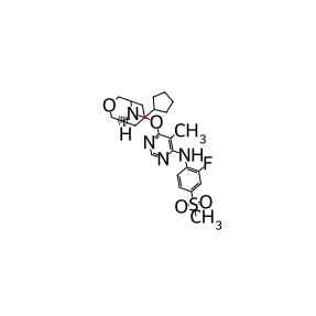 Cc1c(Nc2ccc(S(C)(=O)=O)cc2F)ncnc1OC1CC2COC[C@@H](C1)N2CC1CCCC1